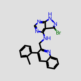 Cc1ccccc1-c1cc2ccccc2nc1CNc1ncnc2[nH]nc(Br)c12